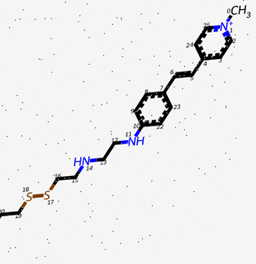 C[n+]1ccc(/C=C/c2ccc(NCCNCCSSCCN)cc2)cc1